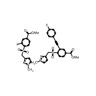 COC(=O)c1ccc(S(=O)(=O)Cc2ccn(C)n2)c(C#Cc2ccc(F)cc2)c1.COC(=O)c1ccc(S(=O)(=O)Cc2ccn(C)n2)c(I)c1